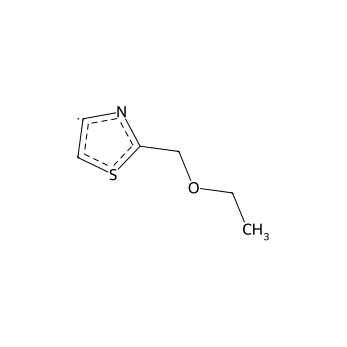 CCOCc1n[c]cs1